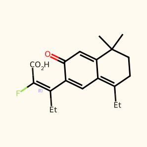 CCC1=C2C=C(/C(CC)=C(/F)C(=O)O)C(=O)C=C2C(C)(C)CC1